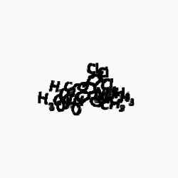 C=CCOc1cc(Cl)c(Cl)c(Cl)c1C(N[S@@+]([O-])C(C)(C)C)C1CCN(C(=O)[C@H]2COC(C)(C)O2)CC1